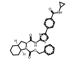 O=C(NC1CC1)c1ccc(-c2csc(NC(=O)[C@@H]3C[C@@H]4CCCC[C@@H]4N3C(=O)OCc3ccccc3)n2)cc1